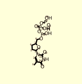 Cc1cn([C@H]2CCC(COP(O)OP(=O)(O)OP(O)O)O2)c(=O)[nH]c1=O